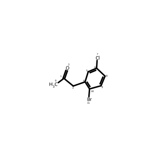 CC(=O)Cc1cc(Cl)ccc1Br